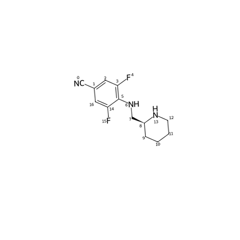 N#Cc1cc(F)c(NC[C@@H]2CCCCN2)c(F)c1